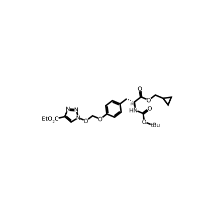 CCOC(=O)c1cn(OCOc2ccc(C[C@@H](NC(=O)OC(C)(C)C)C(=O)OCC3CC3)cc2)nn1